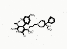 CCC1=C(N(C)C=O)C(c2ccc([N+](=O)[O-])cc2)C(N(C=O)CCCN2CCC(NC=O)(c3ccccc3)CC2)=C(CC)N1